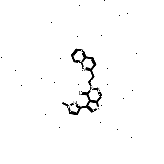 Cn1ccc(-c2csc3cnn(CCc4ccc5ccccc5n4)c(=O)c23)n1